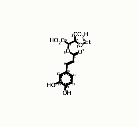 CCOC(C(=O)O)C(OC(=O)C=Cc1ccc(O)c(O)c1)C(=O)O